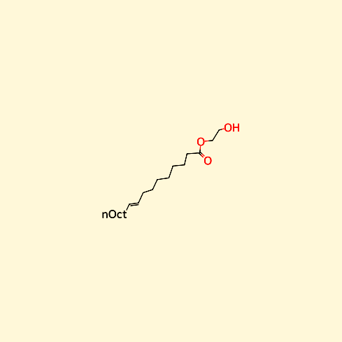 CCCCCCCC/C=C/CCCCCCCC(=O)OCCO